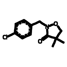 CC1(C)CON(Cc2ccc(Cl)cc2)C1=O